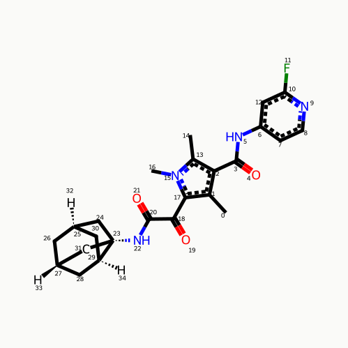 Cc1c(C(=O)Nc2ccnc(F)c2)c(C)n(C)c1C(=O)C(=O)N[C@]12C[C@@H]3C[C@@H](C[C@H]1C3)C2